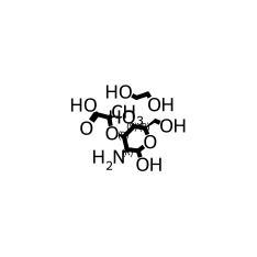 CC(O[C@H]1[C@H](O)[C@@H](CO)OC(O)[C@@H]1N)C(=O)O.OCCO